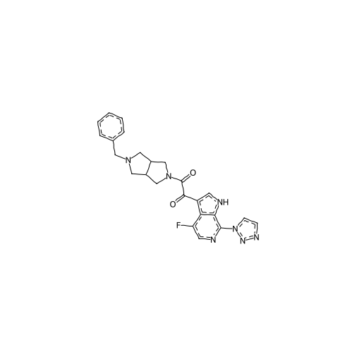 O=C(C(=O)N1CC2CN(Cc3ccccc3)CC2C1)c1c[nH]c2c(-n3ccnn3)ncc(F)c12